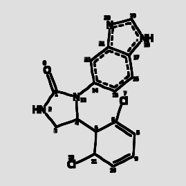 O=C1NCC(C2C(Cl)=CC=CC2Cl)N1c1ccc2[nH]cnc2c1